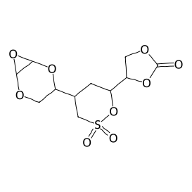 O=C1OCC(C2CC(C3COC4OC4O3)CS(=O)(=O)O2)O1